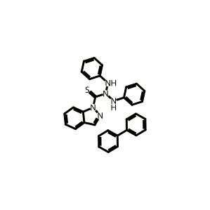 S=C(N(Nc1ccccc1)Nc1ccccc1)n1ncc2ccccc21.c1ccc(-c2ccccc2)cc1